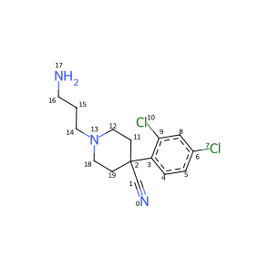 N#CC1(c2ccc(Cl)cc2Cl)CCN(CCCN)CC1